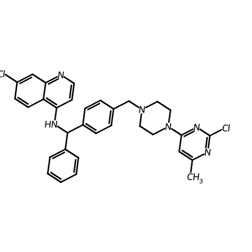 Cc1cc(N2CCN(Cc3ccc(C(Nc4ccnc5cc(Cl)ccc45)c4ccccc4)cc3)CC2)nc(Cl)n1